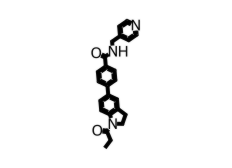 CCC(=O)N1CCc2cc(-c3ccc(C(=O)NCc4ccncc4)cc3)ccc21